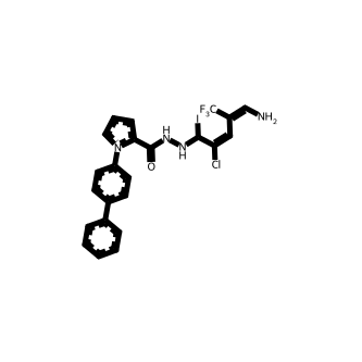 N/C=C(\C=C(\Cl)C(I)NNC(=O)c1cccn1-c1ccc(-c2ccccc2)cc1)C(F)(F)F